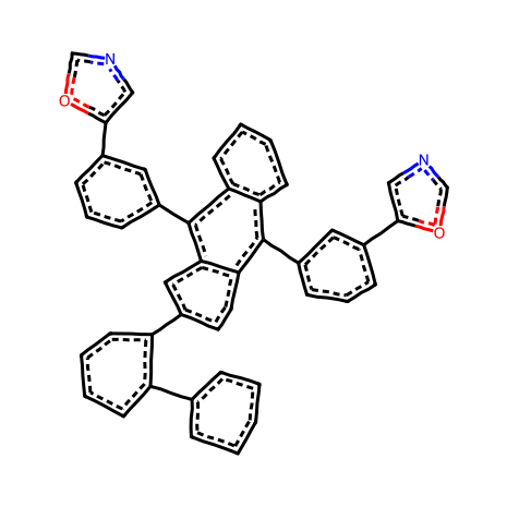 c1ccc(-c2ccccc2-c2ccc3c(-c4cccc(-c5cnco5)c4)c4ccccc4c(-c4cccc(-c5cnco5)c4)c3c2)cc1